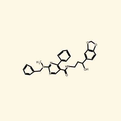 CN(Cc1ccccc1)c1ncc(C(=O)NCCC(O)c2ccc3c(c2)OCO3)c(-c2ccccc2)n1